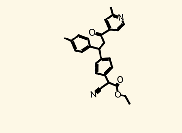 CCOC(=O)C(C#N)c1ccc(C(CC(=O)c2ccnc(C)c2)c2ccc(C)cc2)cc1